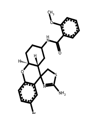 COc1ccccc1C(=O)NC1CC[C@@H]2Oc3ccc(Br)cc3C3(CSC(N)=N3)[C@H]2C1